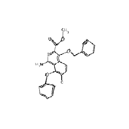 COC(=O)c1nc(N)c2c(Oc3ccccc3)c(Cl)ccc2c1OCc1ccccc1